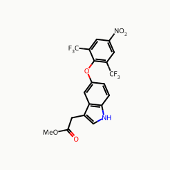 COC(=O)Cc1c[nH]c2ccc(Oc3c(C(F)(F)F)cc([N+](=O)[O-])cc3C(F)(F)F)cc12